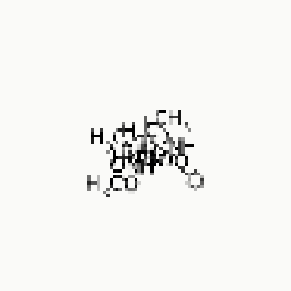 CC(=O)C(=O)NNC(=O)C(CC(C)C)NC(=O)C(CC(C)C)NC(=O)OCc1ccccc1